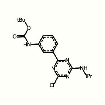 CC(C)Nc1nc(Cl)nc(-c2cccc(NC(=O)OC(C)(C)C)c2)n1